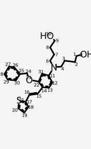 OCCCCN(CCCCO)c1ccc(/C=C/c2cccs2)c(OCc2ccccc2)c1